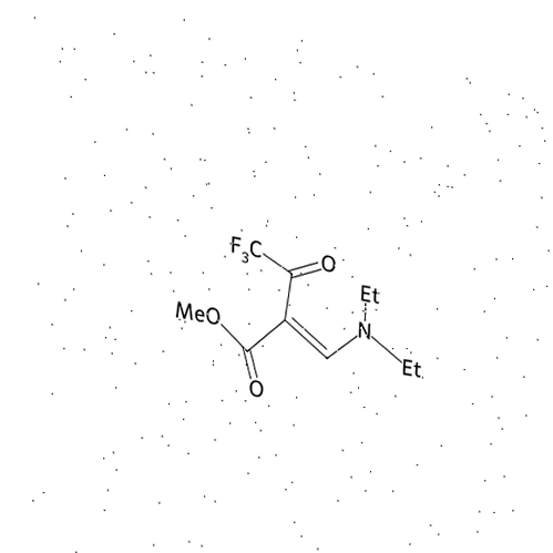 CCN(C=C(C(=O)OC)C(=O)C(F)(F)F)CC